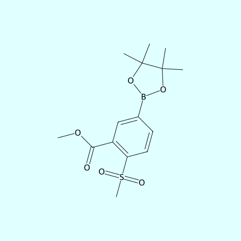 COC(=O)c1cc(B2OC(C)(C)C(C)(C)O2)ccc1S(C)(=O)=O